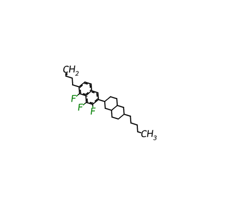 C=CCCc1ccc2cc(C3CCC4CC(CCCCC)CCC4C3)c(F)c(F)c2c1F